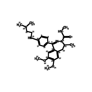 CNC(=O)N1N=C(c2ccc(NCCN(C)C)cc2)c2cc(OC)c(OC)cc2CC1C